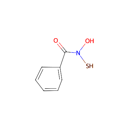 O=C(c1ccccc1)N(O)S